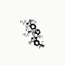 CC(=O)N[C@@H]1C[C@H](N(C)C(C)C)CC[C@@H]1N1CCC(Nc2nc[n+]([O-])c3ccc(C(F)(F)F)cc23)C1=O